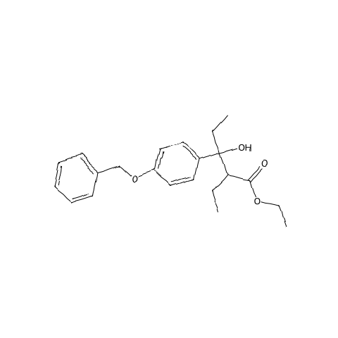 CCOC(=O)C(CC)C(O)(CC)c1ccc(OCc2ccccc2)cc1